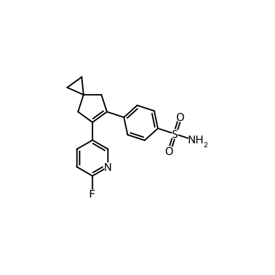 NS(=O)(=O)c1ccc(C2=C(c3ccc(F)nc3)CC3(CC3)C2)cc1